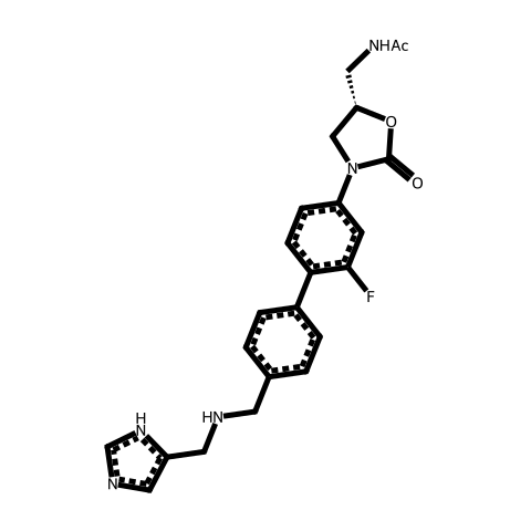 CC(=O)NC[C@H]1CN(c2ccc(-c3ccc(CNCc4cnc[nH]4)cc3)c(F)c2)C(=O)O1